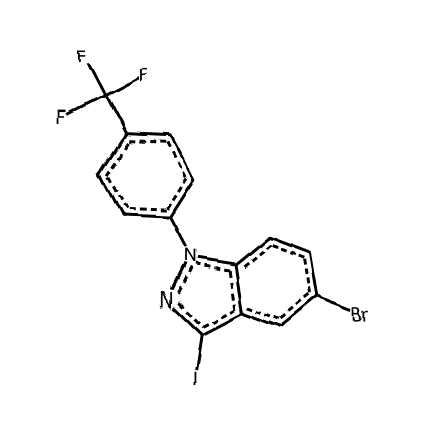 FC(F)(F)c1ccc(-n2nc(I)c3cc(Br)ccc32)cc1